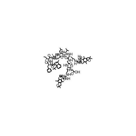 CC[C@H](C)[C@H](NC(=O)[C@@H](N)Cc1ccccc1)C(=O)N[C@@H](C)C(=O)N[C@@H](Cc1cn(C(=O)OC(C)(C)C)c2ccccc12)C(=O)N[C@@H](CC(C)C)C(=O)N[C@H](C(=O)N[C@@H](CCCNC(=N)NS(=O)(=O)c1c(C)c(C)c2c(c1C)CC(C)(C)O2)C(=O)NCC(=O)N[C@@H](CCCNC(=N)NS(=O)(=O)c1c(C)c(C)c2c(c1C)CC(C)(C)O2)C(=O)NCC(=O)O)C(C)C